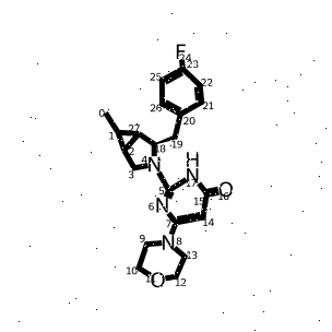 CC1C2CN(c3nc(N4CCOCC4)cc(=O)[nH]3)[C@H](Cc3ccc(F)cc3)C12